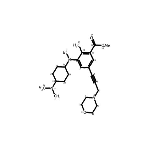 CCN(c1cc(C#CCN2CCOCC2)cc(C(=O)OC)c1C)C1CCC(N(C)C)CC1